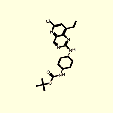 CCc1cc(Cl)nc2cnc(N[C@H]3CC[C@H](NC(=O)OC(C)(C)C)CC3)nc12